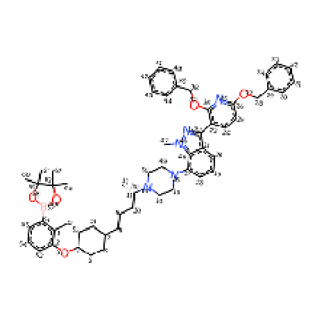 Cc1c(OC2CCC(CCC[C@H](C)N3CCN(c4cccc5c(-c6ccc(OCc7ccccc7)nc6OCc6ccccc6)nn(C)c45)CC3)CC2)cccc1B1OC(C)(C)C(C)(C)O1